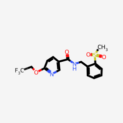 CS(=O)(=O)c1ccccc1CNC(=O)c1ccc(OCC(F)(F)F)nc1